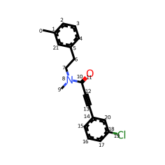 Cc1cccc(CCN(C)C(=O)C#Cc2cccc(Cl)c2)c1